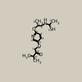 CC(S)NC[C@H](C)Oc1ccc(OCC(=O)C(C)C)cn1